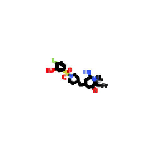 CC(C)CC1(C)NC(=N)C=C(CC2CCN(S(=O)(=O)c3ccc(F)c(O)c3)CC2)CC1=O